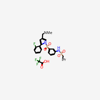 CNCc1cc(-c2ccccc2F)n(S(=O)(=O)c2cccc(NS(=O)(=O)CC(C)C)c2)c1.O=C(O)C(F)(F)F